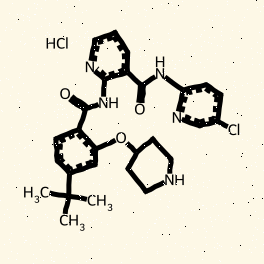 CC(C)(C)c1ccc(C(=O)Nc2ncccc2C(=O)Nc2ccc(Cl)cn2)c(OC2CCNCC2)c1.Cl